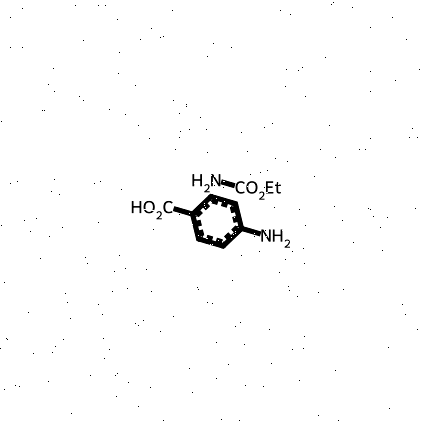 CCOC(N)=O.Nc1ccc(C(=O)O)cc1